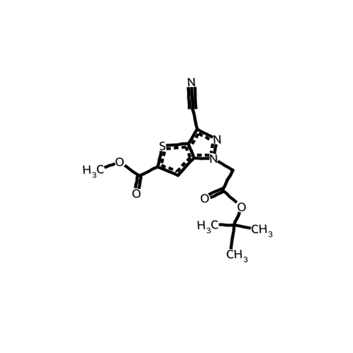 COC(=O)c1cc2c(s1)c(C#N)nn2CC(=O)OC(C)(C)C